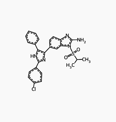 CC(C)S(=O)(=O)n1c(N)nc2ccc(-c3nc(-c4ccc(Cl)cc4)[nH]c3-c3ccccc3)cc21